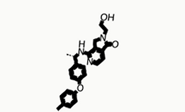 Cc1ccc(Oc2ccc([C@H](C)Nc3nccc4c3CN(CCO)C4=O)cc2)cc1